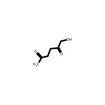 CC(=O)CCC(=O)CO